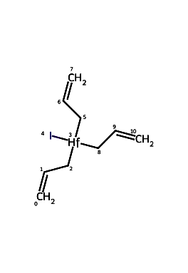 C=C[CH2][Hf]([I])([CH2]C=C)[CH2]C=C